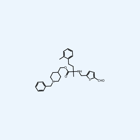 Cc1ccccc1CCC(C)(NCc1ccc(C=O)s1)C(=O)OCC1CCN(Cc2ccccc2)CC1